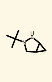 CC(C)(C)N1BC2CC2C1